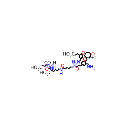 CC[C@@H]1C[C@](Cc2ccc(CCC(=O)NCCCCCC(=O)NCCCC[C@H](NC(=O)N[C@@H](CCC(=O)O)C(=O)O)C(=O)O)cc2CN)(Oc2ccc(CCC(=O)O)cc2CN)CC(=O)CCC1=O